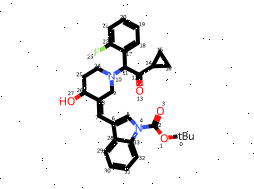 CC(C)(C)OC(=O)n1cc(C=C2CN(C(C(=O)C3CC3)c3ccccc3F)CCC2O)c2ccccc21